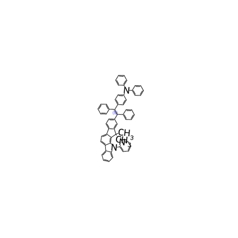 CC1(C)c2cc(/C(=C(\c3ccccc3)c3ccc(N(c4ccccc4)c4ccccc4)cc3)c3ccccc3)ccc2-c2ccc3c4ccccc4n(-c4ccccn4)c3c21